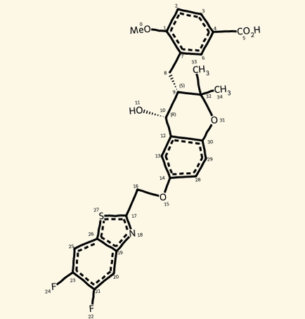 COc1ccc(C(=O)O)cc1C[C@H]1[C@@H](O)c2cc(OCc3nc4cc(F)c(F)cc4s3)ccc2OC1(C)C